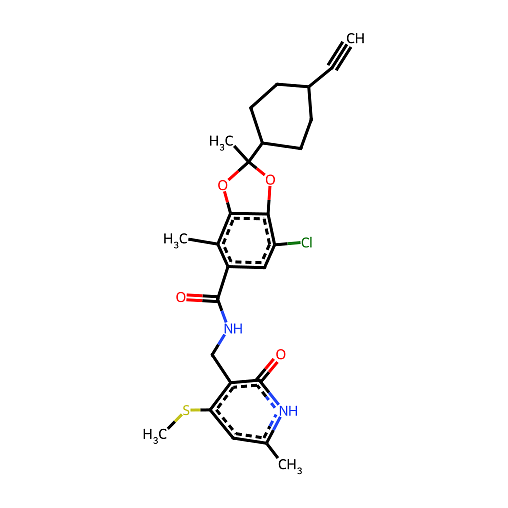 C#CC1CCC(C2(C)Oc3c(Cl)cc(C(=O)NCc4c(SC)cc(C)[nH]c4=O)c(C)c3O2)CC1